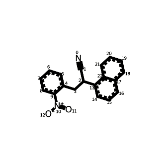 N#CC(Cc1ccccc1[N+](=O)[O-])c1cccc2ccccc12